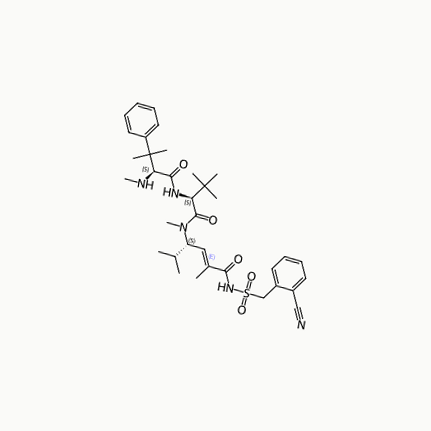 CN[C@H](C(=O)N[C@H](C(=O)N(C)[C@H](/C=C(\C)C(=O)NS(=O)(=O)Cc1ccccc1C#N)C(C)C)C(C)(C)C)C(C)(C)c1ccccc1